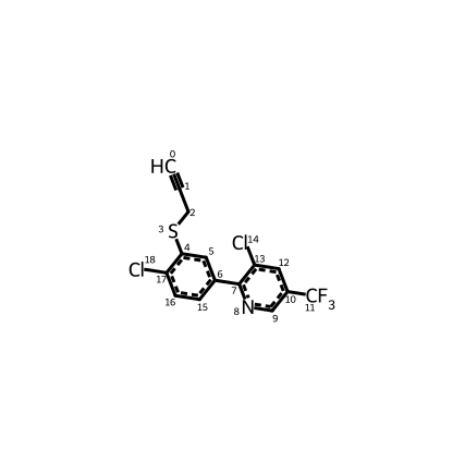 C#CCSc1cc(-c2ncc(C(F)(F)F)cc2Cl)ccc1Cl